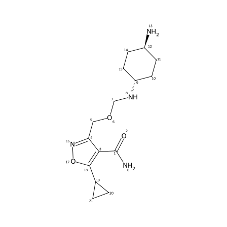 NC(=O)c1c(COCN[C@H]2CC[C@H](N)CC2)noc1C1CC1